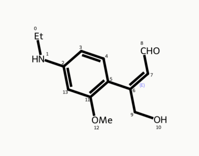 CCNc1ccc(/C(=C\C=O)CO)c(OC)c1